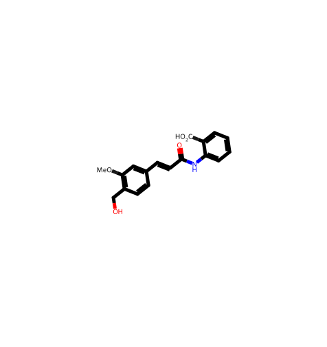 COc1cc(C=CC(=O)Nc2ccccc2C(=O)O)ccc1CO